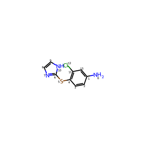 Nc1ccc(Sc2ncc[nH]2)c(Cl)c1